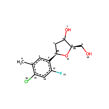 Cc1cc([C@H]2CC(O)[C@@H](CO)O2)c(F)cc1Cl